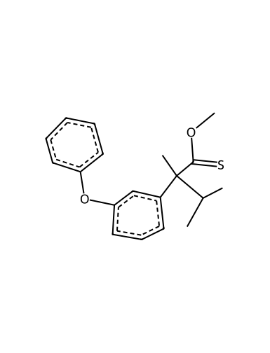 COC(=S)C(C)(c1cccc(Oc2ccccc2)c1)C(C)C